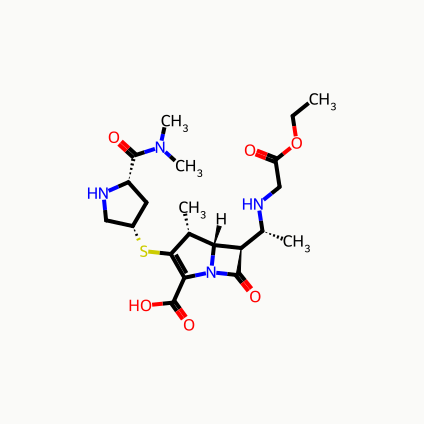 CCOC(=O)CN[C@H](C)[C@H]1C(=O)N2C(C(=O)O)=C(S[C@@H]3CN[C@H](C(=O)N(C)C)C3)[C@H](C)[C@H]12